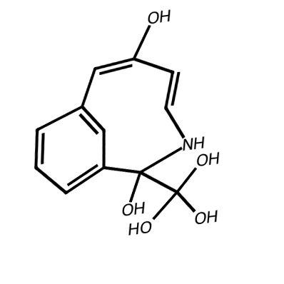 OC1=C/c2cccc(c2)C(O)(C(O)(O)O)N\C=C\1